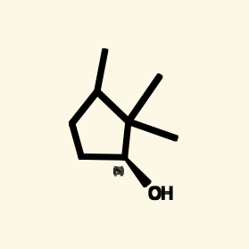 CC1CC[C@H](O)C1(C)C